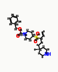 C=CC(CCC1(C)CCNCC1)S(=O)(=O)C1CCN(C(=O)OCc2ccccc2)CC1